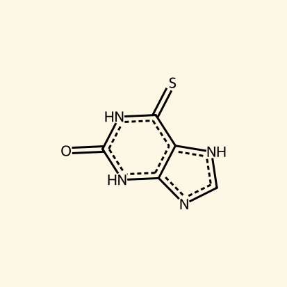 O=c1[nH]c(=S)c2[nH]cnc2[nH]1